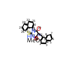 COc1ccc2ccccc2c1/C=C1\C(=O)NC(=S)N(c2cccc3ccccc23)C1=O